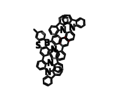 Cc1ccc2c(c1)Sc1cc(-c3cccc(-n4c5ccccc5c5ccccc54)c3-n3c4ccccc4c4ccccc43)cc3c1B2c1ccc(-c2cccc(-n4c5ccccc5c5ccccc54)c2-n2c4ccccc4c4ccccc42)cc1N3c1ccccc1-c1ccccc1